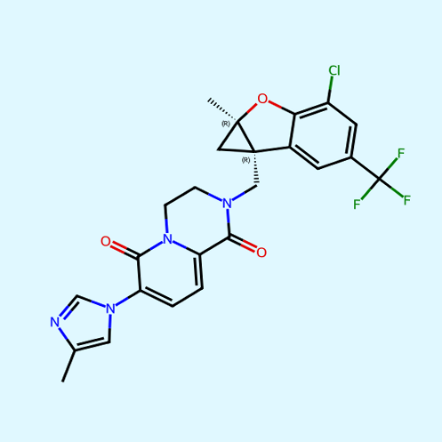 Cc1cn(-c2ccc3n(c2=O)CCN(C[C@]24C[C@@]2(C)Oc2c(Cl)cc(C(F)(F)F)cc24)C3=O)cn1